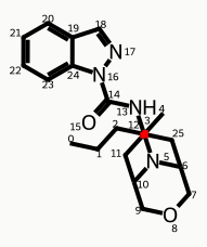 CCCC(C)N1C2COCC1CC(NC(=O)n1ncc3ccccc31)C2